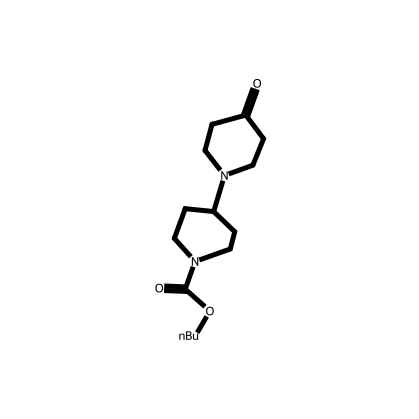 CCCCOC(=O)N1CCC(N2CCC(=O)CC2)CC1